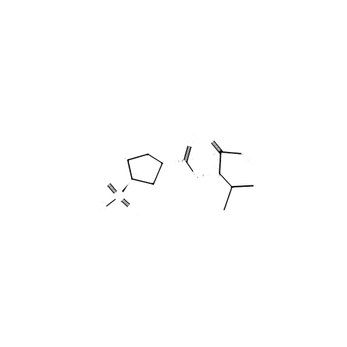 CC(C)[C@H](NC(=O)[C@H]1CC[C@H](S(=O)(=O)O)C1)C(=O)O